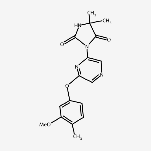 COc1cc(Oc2cncc(N3C(=O)NC(C)(C)C3=O)n2)ccc1C